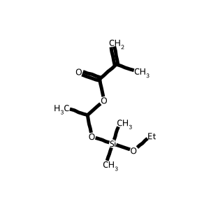 C=C(C)C(=O)OC(C)O[Si](C)(C)OCC